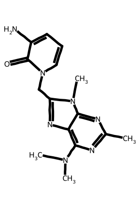 Cc1nc(N(C)C)c2nc(Cn3cccc(N)c3=O)n(C)c2n1